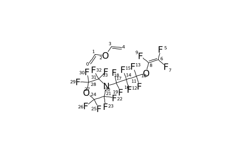 C=COC=C.FC(F)=C(F)OC(F)(F)C(F)(F)C(F)(F)N1C(F)(F)C(F)(F)OC(F)(F)C1(F)F